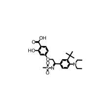 CCN(CC)c1ccc(C(COc2ccc(C(=O)O)c(O)c2)=NS(C)(=O)=O)cc1C(C)(C)C